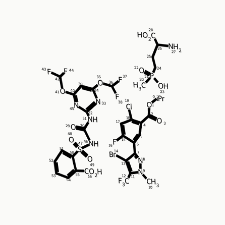 CC(C)OC(=O)c1cc(-c2nn(C)c(C(F)(F)F)c2Br)c(F)cc1Cl.CP(=O)(O)CCC(N)C(=O)O.O=C(Nc1nc(OC(F)F)cc(OC(F)F)n1)NS(=O)(=O)c1ccccc1C(=O)O